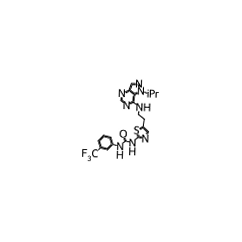 CC(C)n1ncc2ncnc(NCCc3cnc(NC(=O)Nc4cccc(C(F)(F)F)c4)s3)c21